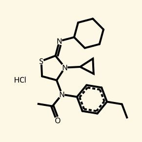 CCc1ccc(N(C(C)=O)C2CSC(=NC3CCCCC3)N2C2CC2)cc1.Cl